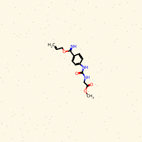 C=CCOC(=N)c1ccc(NC(=O)NCC(=O)OC)cc1